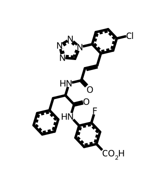 O=C(C=Cc1cc(Cl)ccc1-n1cnnn1)NC(Cc1ccccc1)C(=O)Nc1ccc(C(=O)O)cc1F